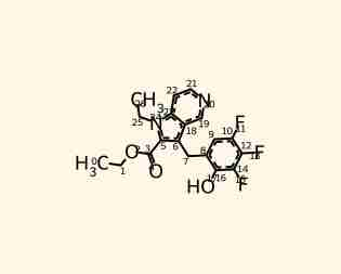 CCOC(=O)c1c(Cc2cc(F)c(F)c(F)c2O)c2cnccc2n1CC